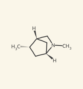 C[C@H]1C[C@@H]2C[C@H]1CN2C